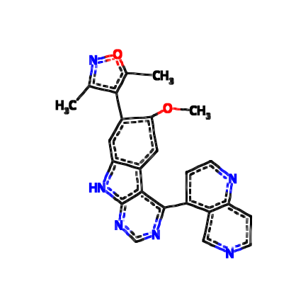 COc1cc2c(cc1-c1c(C)noc1C)[nH]c1ncnc(-c3ccnc4ccncc34)c12